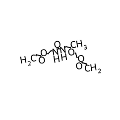 C=CC(=O)OCCNC(=O)NCC(C)OCCOC(=O)C=C